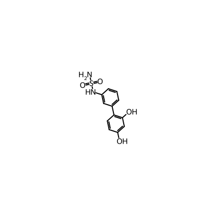 NS(=O)(=O)Nc1cccc(-c2ccc(O)cc2O)c1